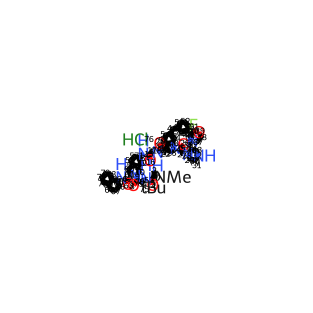 CN[C@@H](C)C(=O)N[C@H](C(=O)N1Cc2cc(NC(=O)CNC(=O)[C@@]3(C)CN(C(=O)CN4C[C@@H](C)NC[C@@H]4CN4CCOC[C@H]4C)c4cc(Cc5ccc(F)cc5)ccc43)ccc2C[C@H]1C(=O)N[C@@H]1CCCc2ccccc21)C(C)(C)C.Cl